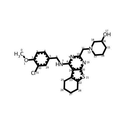 COc1ccc(CNc2nc(CN3CCCC(O)C3)nc3sc4c(c23)CCCC4)cc1Cl